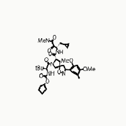 CNC(=O)C(=O)[C@H](CC1CC1)NC(=O)[C@@H]1C[C@]2(CC(c3cc(C)c(OC)cc3OC)=NO2)CN1C(=O)[C@@H](NC(=O)OC1CCCC1)C(C)(C)C